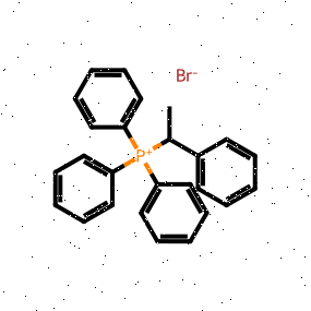 CC(c1ccccc1)[P+](c1ccccc1)(c1ccccc1)c1ccccc1.[Br-]